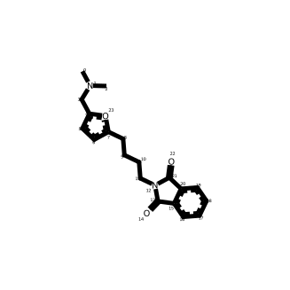 CN(C)Cc1ccc(CCCCN2C(=O)c3ccccc3C2=O)o1